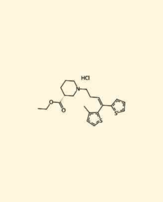 CCOC(=O)[C@@H]1CCCN(CCC=C(c2cccs2)c2sccc2C)C1.Cl